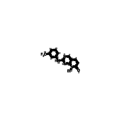 CCn1c(=O)ccc2cnc(Nc3cccc(C(F)(F)F)c3)nc21